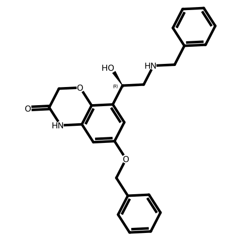 O=C1COc2c(cc(OCc3ccccc3)cc2[C@@H](O)CNCc2ccccc2)N1